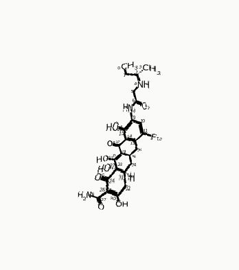 CC[C@H](C)NCC(=O)Nc1cc(F)c2c(c1O)C(=O)C1=C(O)[C@]3(O)C(=O)C(C(N)=O)=C(O)C[C@@H]3CC1C2